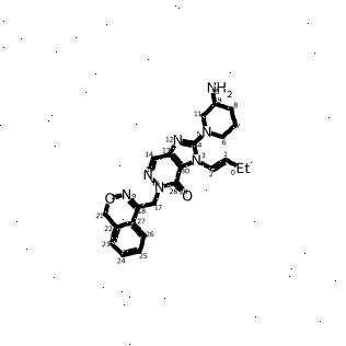 CC/C=C/n1c(N2CCCC(N)C2)nc2cnn(CC3=NOCc4ccccc43)c(=O)c21